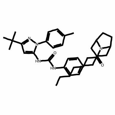 CCCCCCC(=O)N1C2CCC1CC(Cc1ccc(NC(=O)Nc3cc(C(C)(C)C)nn3-c3ccc(C)cc3)cc1)C2